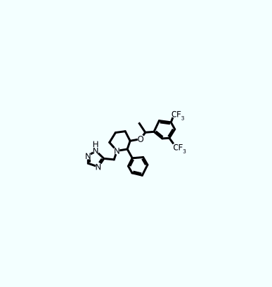 CC(OC1CCCN(Cc2ncn[nH]2)C1c1ccccc1)c1cc(C(F)(F)F)cc(C(F)(F)F)c1